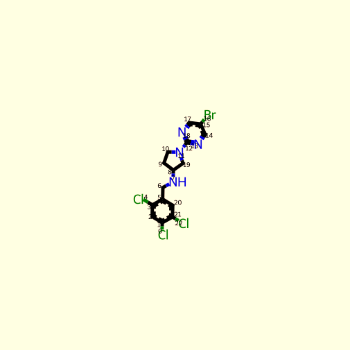 Clc1cc(Cl)c(CNC2CCN(c3ncc(Br)cn3)C2)cc1Cl